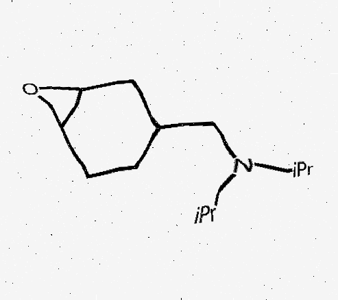 CC(C)N(CC1CCC2OC2C1)C(C)C